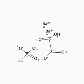 O=C([O-])C(=O)O.O=P([O-])([O-])[O-].[Ba+2].[Ba+2]